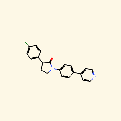 O=C1C(c2ccc(Cl)cc2)CCN1c1ccc(-c2ccncc2)cc1